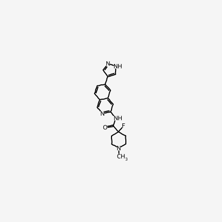 CN1CCC(F)(C(=O)Nc2cc3cc(-c4cn[nH]c4)ccc3cn2)CC1